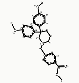 COC(=O)c1ccc(CN2CCCC(c3ccc(OC)cc3)(c3ccc(OC)cc3)C2)cc1